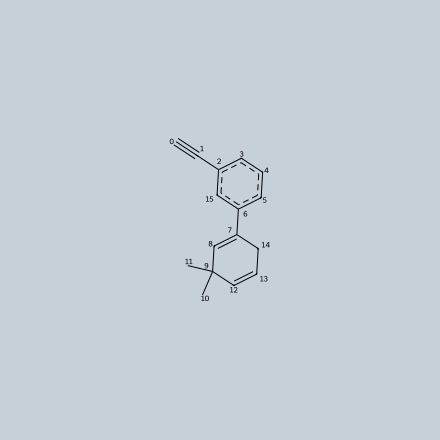 C#Cc1cccc(C2=CC(C)(C)C=CC2)c1